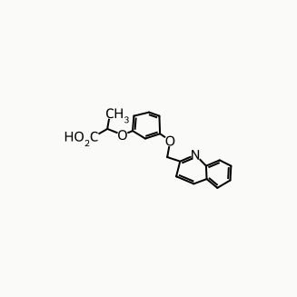 CC(Oc1cccc(OCc2ccc3ccccc3n2)c1)C(=O)O